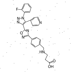 O=C(O)CCNCc1ccc(-c2noc(-c3nnn(-c4ccccc4F)c3-c3ccncc3)n2)cc1